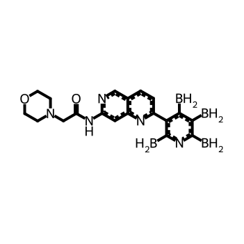 Bc1nc(B)c(-c2ccc3cnc(NC(=O)CN4CCOCC4)cc3n2)c(B)c1B